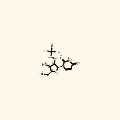 O=c1ccn([C@H]2O[C@@H](CO)C(O)C2OOC(F)(F)F)c(=O)[nH]1